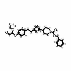 CCOC(C=O)Oc1ccc(CCc2nnc(C3CCN(C(=O)OCc4ccccc4)CC3)s2)cc1